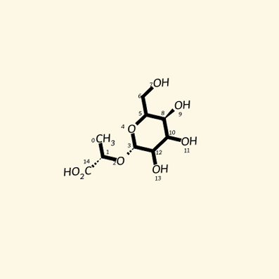 C[C@H](O[C@@H]1OC(CO)[C@@H](O)C(O)C1O)C(=O)O